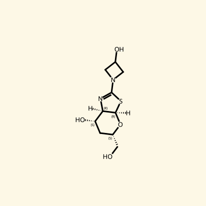 OC[C@@H]1C[C@H](O)[C@H]2N=C(N3CC(O)C3)S[C@H]2O1